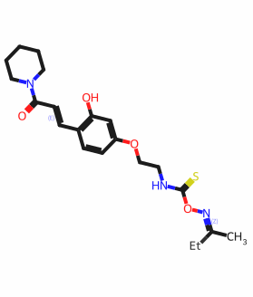 CC/C(C)=N\OC(=S)NCCOc1ccc(/C=C/C(=O)N2CCCCC2)c(O)c1